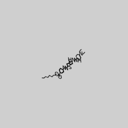 CCCCCCCCOC(=O)c1ccc(/N=N/c2cc3sc(NNC4=CC=C(N(CC)CC)CC4)cc3s2)cc1